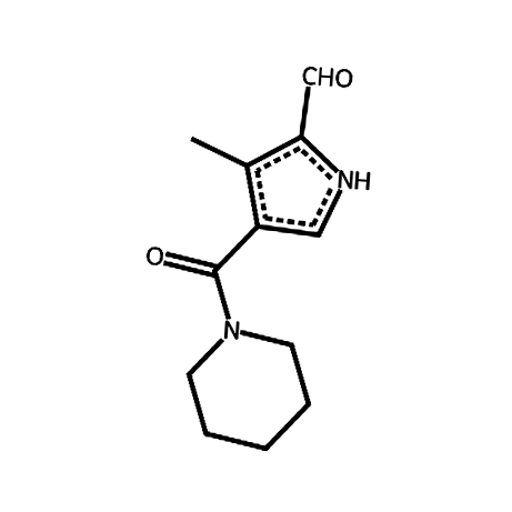 Cc1c(C(=O)N2CCCCC2)c[nH]c1C=O